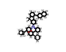 CC1(C)c2cc(N(c3ccc(C4CC5CCC4C5)cc3)c3ccccc3-c3ccccc3C3CCCCC3)ccc2-c2c(-c3ccc4ccccc4c3)cccc21